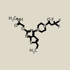 CCc1cc2c(N3CCN(C(=O)CC(F)(F)F)CC3)nc(OCC(=O)NC)nc2s1